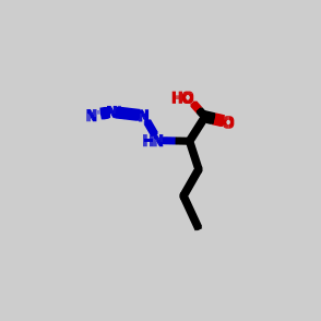 CCCC(NN=[N+]=[N-])C(=O)O